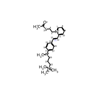 CC(=O)SCC[n+]1ccccc1/C=C/c1ccc(N(C)CCC[N+](C)(C)C)cc1